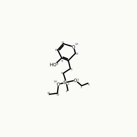 CCO[Si](C)(CCC1=C(O)C=COC1)OCC